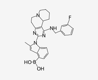 Cc1cc2c(B(O)O)cccc2n1-c1nc2c(c(NCc3cccc(F)c3)n1)C1CCCCN1CC2